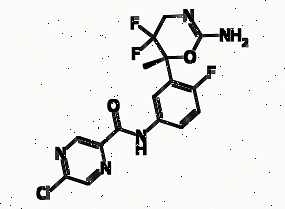 C[C@]1(c2cc(NC(=O)c3cnc(Cl)cn3)ccc2F)OC(N)=NCC1(F)F